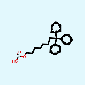 OB(O)OCCCCCCCC(c1ccccc1)(c1ccccc1)c1ccccc1